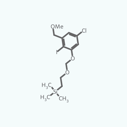 COCc1cc(Cl)cc(OCOCC[Si](C)(C)C)c1I